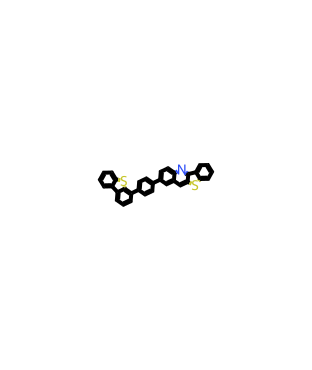 c1ccc2c(c1)sc1c(-c3ccc(-c4ccc5nc6c(cc5c4)sc4ccccc46)cc3)cccc12